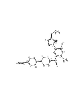 CCc1nnc(-c2cc(C(=O)N3CCC(c4ccc(C#N)cc4)CC3)c(C)cc2F)[nH]1